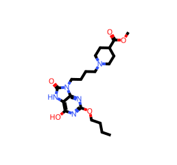 CCCCOc1nc(O)c2[nH]c(=O)n(CCCCN3CCC(C(=O)OC)CC3)c2n1